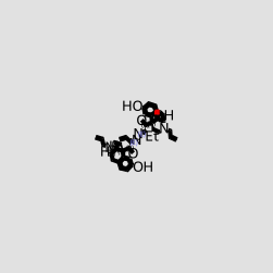 C=CCN1CC[C@]23c4c(ccc(O)c4O[C@H]2/C(CC)=N/N=C(\C=C)[C@@H]2Oc4c(O)ccc5c4[C@@]24CCN(CC=C)[C@H](C5)[C@@H]4C)CC1[C@@]3(C)O